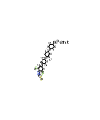 CCCCCc1ccc(-c2ccc(-c3ccc(-c4cc(F)c(N=C=S)c(F)c4)cc3)c(C)c2)cc1